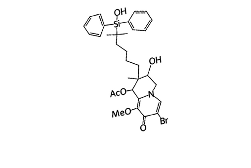 COc1c2n(cc(Br)c1=O)CC(O)C(C)(CCCCC(C)(C)[Si](O)(c1ccccc1)c1ccccc1)C2OC(C)=O